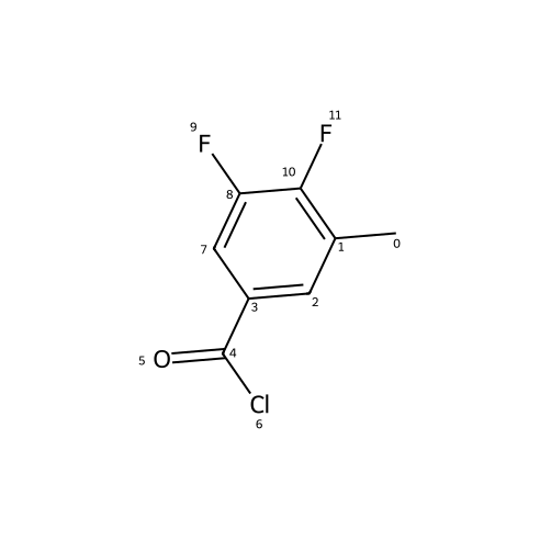 Cc1cc(C(=O)Cl)cc(F)c1F